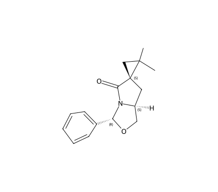 CC1(C)C[C@]12C[C@H]1CO[C@H](c3ccccc3)N1C2=O